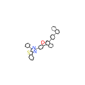 C1=Cc2cccc(-c3ccc(-c4cc5oc6cc(-c7nc(-c8ccccc8)c8sc9ccccc9c8n7)ccc6c5c5ccccc45)cc3)c2CC1